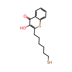 O=c1c(O)c(CCCCCCS)sc2ccccc12